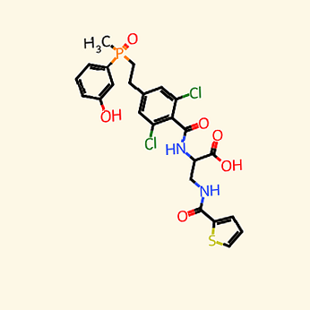 CP(=O)(CCc1cc(Cl)c(C(=O)NC(CNC(=O)c2cccs2)C(=O)O)c(Cl)c1)c1cccc(O)c1